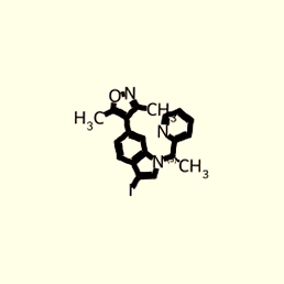 Cc1noc(C)c1-c1ccc2c(I)cn([C@@H](C)c3ccccn3)c2c1